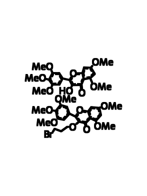 COc1cc(OC)c2c(=O)c(O)c(-c3cc(OC)c(OC)c(OC)c3)oc2c1.COc1cc(OC)c2c(=O)c(OCCCBr)c(-c3cc(OC)c(OC)c(OC)c3)oc2c1